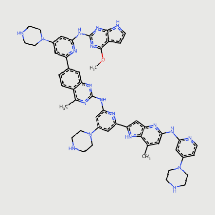 COc1nc(Nc2cc(N3CCNCC3)cc(-c3ccc4c(C)nc(Nc5cc(N6CCNCC6)cc(-c6cc7nc(Nc8cc(N9CCNCC9)ccn8)cc(C)c7[nH]6)n5)nc4c3)n2)nc2[nH]ccc12